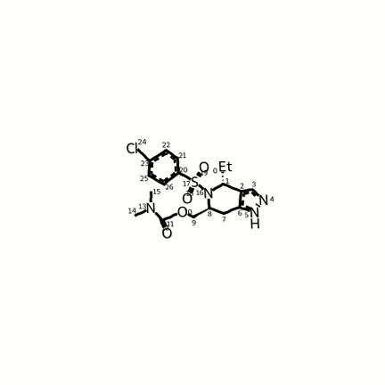 CC[C@@H]1c2cn[nH]c2C[C@@H](COC(=O)N(C)C)N1S(=O)(=O)c1ccc(Cl)cc1